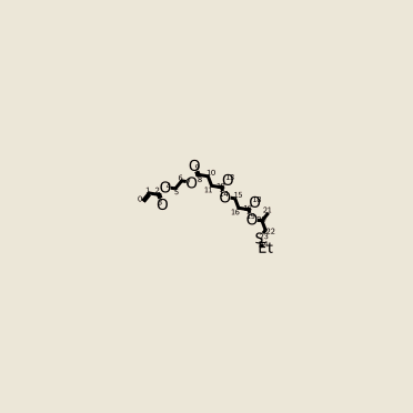 C=CC(=O)OCCOC(=O)CCC(=O)OCCC(=O)OC(C)CSCC